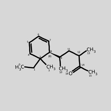 CCC1(C)C=CC=C[C@H]1C(C)CC(C)C(C)=O